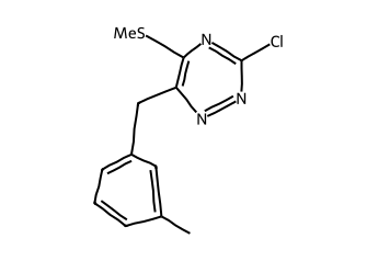 CSc1nc(Cl)nnc1Cc1cccc(C)c1